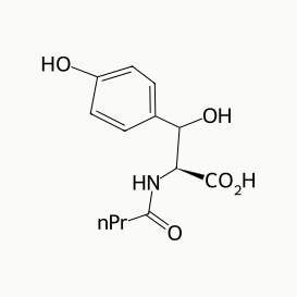 CCCC(=O)N[C@H](C(=O)O)C(O)c1ccc(O)cc1